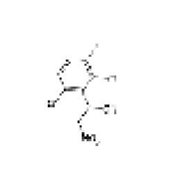 O=[N+]([O-])CC(O)c1c(Cl)ccc(F)c1Cl